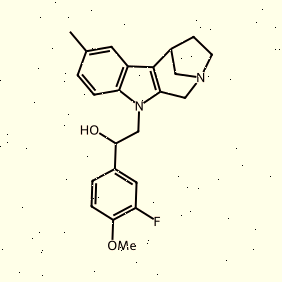 COc1ccc(C(O)Cn2c3c(c4cc(C)ccc42)C2CCN(C3)C2)cc1F